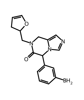 Bc1cccc(C2C(=O)N(CC3CC=CO3)Cc3cncn32)c1